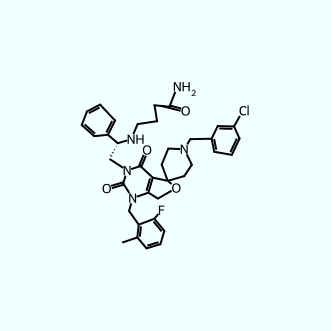 Cc1cccc(F)c1Cn1c2c(c(=O)n(C[C@@H](NCCCC(N)=O)c3ccccc3)c1=O)C1(CCN(Cc3cccc(Cl)c3)CC1)OC2